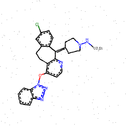 CCOC(=O)NN1CCC(=C2c3ccc(Cl)cc3CCc3c(On4nnc5ccccc54)ccnc32)CC1